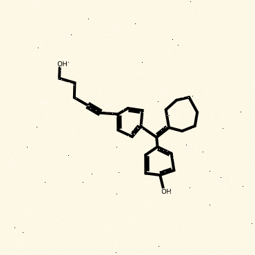 OCCCC#Cc1ccc(C(=C2CCCCCC2)c2ccc(O)cc2)cc1